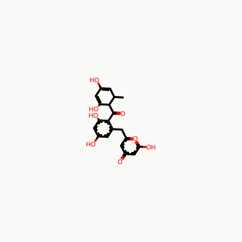 CC1C=C(O)C=C(O)C1C(=O)c1c(O)cc(O)cc1Cc1cc(=O)cc(O)o1